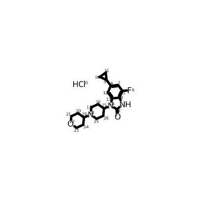 Cl.O=c1[nH]c2c(F)cc(C3CC3)cc2n1C1CCN(C2CCOCC2)CC1